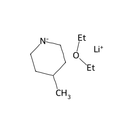 CC1CC[N-]CC1.CCOCC.[Li+]